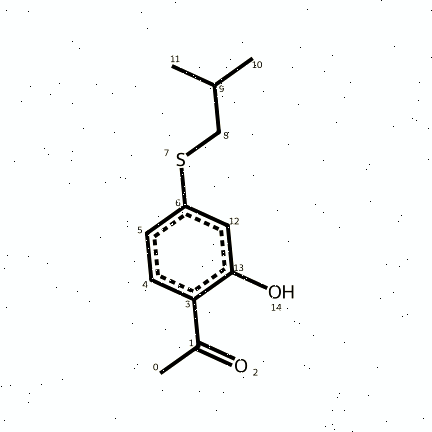 CC(=O)c1ccc(SCC(C)C)cc1O